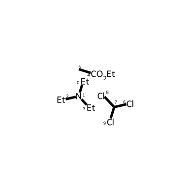 CCN(CC)CC.CCOC(C)=O.ClC(Cl)Cl